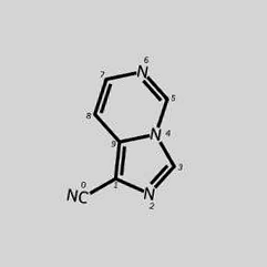 N#Cc1ncn2cnccc12